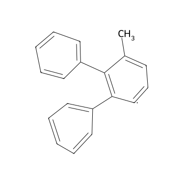 Cc1cc[c]c(-c2ccccc2)c1-c1ccccc1